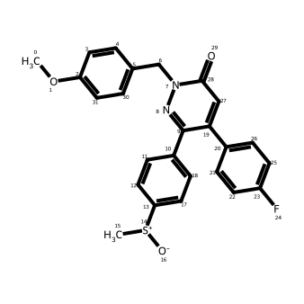 COc1ccc(Cn2nc(-c3ccc([S+](C)[O-])cc3)c(-c3ccc(F)cc3)cc2=O)cc1